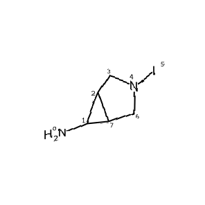 NC1C2CN(I)CC12